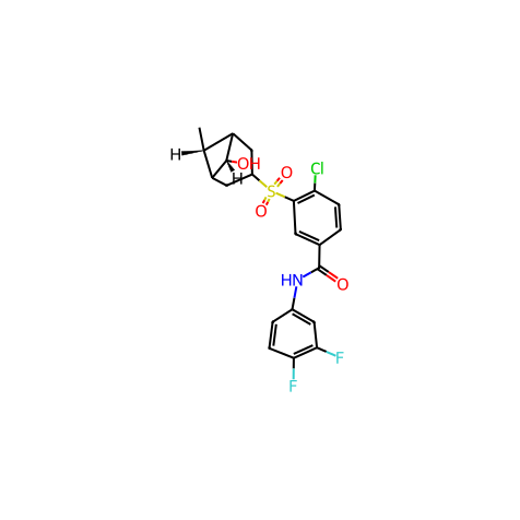 C[C@H]1C2CC(S(=O)(=O)c3cc(C(=O)Nc4ccc(F)c(F)c4)ccc3Cl)CC1[C@@H]2O